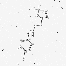 CC(C)(C)ON(C=O)CCNCc1ccc(Cl)nc1